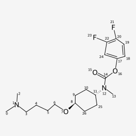 CN(C)CCCCO[C@H]1CC[C@H](N(C)C(=O)Oc2ccc(F)c(F)c2)CC1